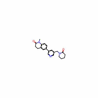 CN1C(=O)CCc2cc(-c3cncc(CN4CCCCC4=O)c3)ccc21